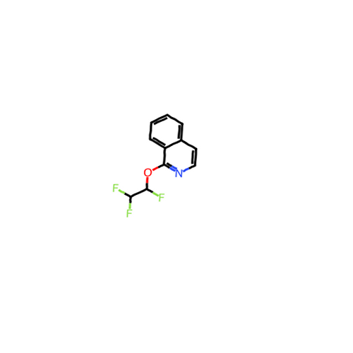 FC(F)C(F)Oc1nccc2ccccc12